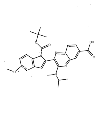 COc1ccc2c(c1)cc(-c1nc3ccc(C(=O)O)cc3nc1N(C)C(C)C)n2C(=O)OC(C)(C)C